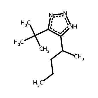 CCCC(C)c1[nH]nnc1C(C)(C)C